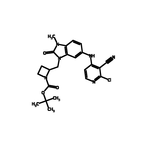 Cn1c(=O)n(CC2CCN2C(=O)OC(C)(C)C)c2cc(Nc3ccnc(Cl)c3C#N)ccc21